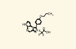 CCCOc1ccc(-c2nnc3cnc4[nH]ccc4n23)cc1.O=C(O)C(F)(F)F